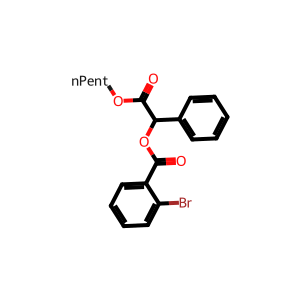 CCCCCOC(=O)C(OC(=O)c1ccccc1Br)c1ccccc1